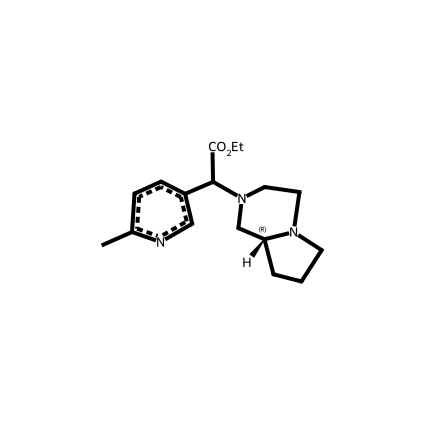 CCOC(=O)C(c1ccc(C)nc1)N1CCN2CCC[C@@H]2C1